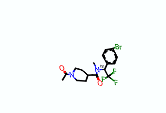 CC(=O)N1CCC(C(=O)N(C)[C@@H](c2ccc(Br)cc2)C(F)(F)F)CC1